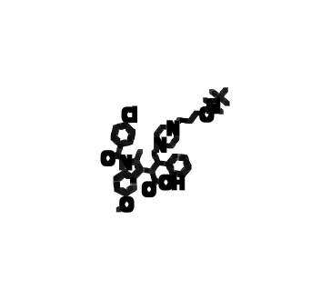 COc1ccc2c(c1)c(C(C(=O)O)C(CN1CCN(CCCO[Si](C)(C)C(C)(C)C)CC1)c1ccccc1)c(C)n2C(=O)c1ccc(Cl)cc1